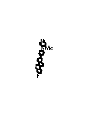 C1=CCC=NC=C1.CNc1ccc(C2CCc3c(ccc4c3CCc3cc(F)ccc3-4)C2)cc1